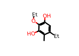 CCOc1c(O)cc(CC)c(C)c1O